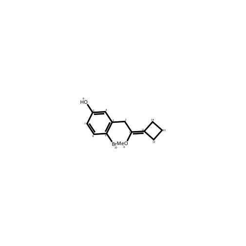 COC(Cc1cc(O)ccc1Br)=C1CCC1